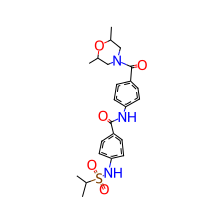 CC1CN(C(=O)c2ccc(NC(=O)c3ccc(NS(=O)(=O)C(C)C)cc3)cc2)CC(C)O1